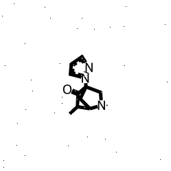 CC1C(=O)C2(n3cccn3)C[N]C1C2